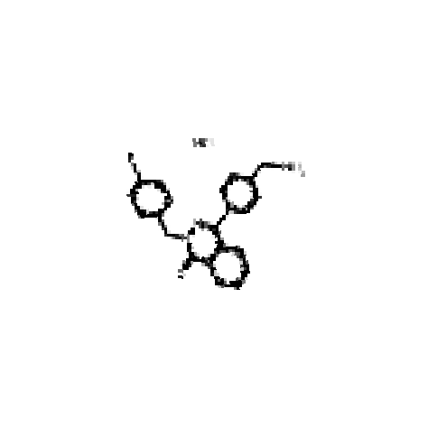 Cl.NCc1ccc(-c2nn(Cc3ccc(F)cc3)c(=O)c3ccccc23)cc1